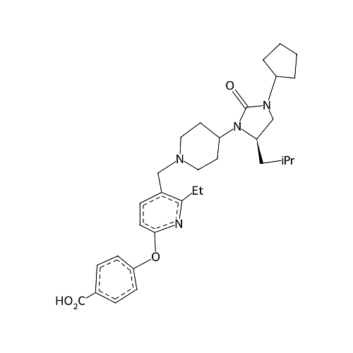 CCc1nc(Oc2ccc(C(=O)O)cc2)ccc1CN1CCC(N2C(=O)N(C3CCCC3)C[C@H]2CC(C)C)CC1